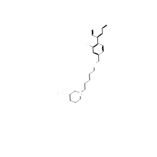 C=C/C=C(\C=C)c1ccc(COCCCCCN2C[C@@H](O)[C@H](C=O)[C@@H](O)C2)cc1F